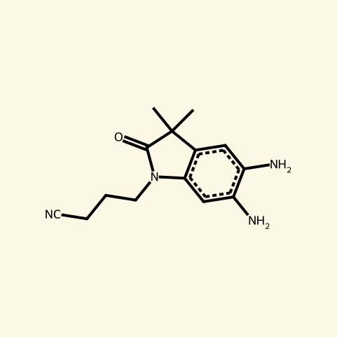 CC1(C)C(=O)N(CCCC#N)c2cc(N)c(N)cc21